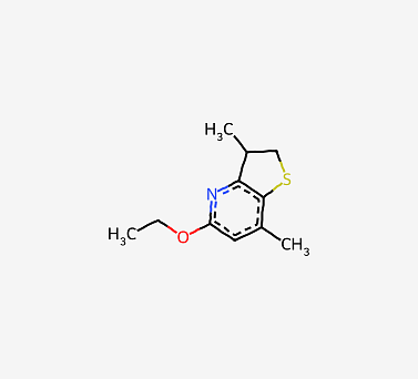 CCOc1cc(C)c2c(n1)C(C)CS2